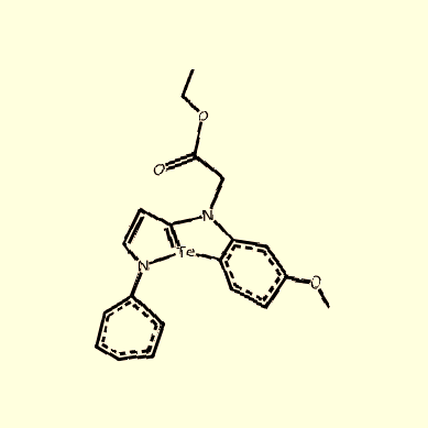 CCOC(=O)CN1C2=[Te](c3ccc(OC)cc31)N(c1ccccc1)C=C2